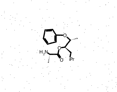 CC(C)C[C@@H](OC(=O)[C@H](C)N)[C@@H](C)Oc1ccccc1